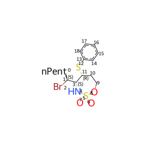 CCCCC[C@H](Br)[C@H]1NS(=O)(=O)OCC[C@H]1Sc1ccccc1